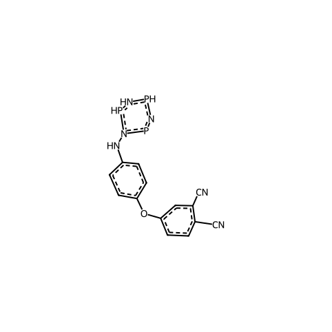 N#Cc1ccc(Oc2ccc(Nn3pn[pH][nH][pH]3)cc2)cc1C#N